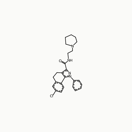 O=C(NCCN1CCCCC1)c1nn(-c2ccccc2)c2c1CCc1cc(Cl)ccc1-2